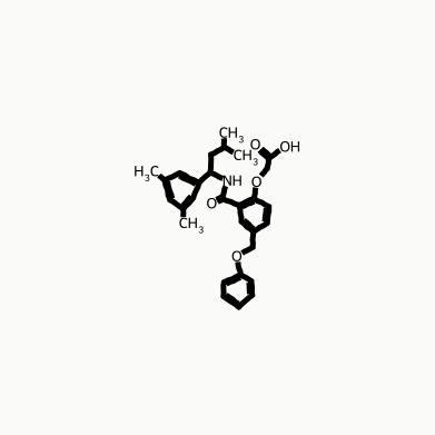 Cc1cc(C)cc(C(CC(C)C)NC(=O)c2cc(COc3ccccc3)ccc2OCC(=O)O)c1